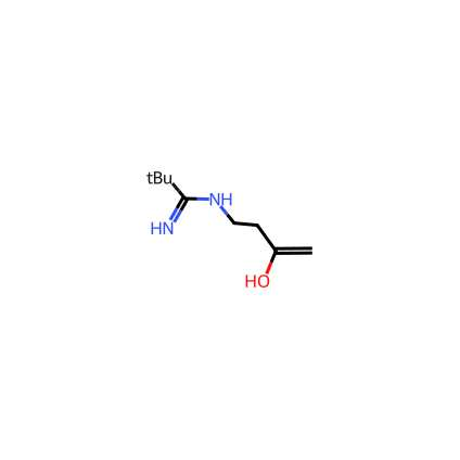 C=C(O)CCNC(=N)C(C)(C)C